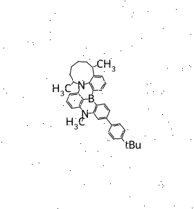 CC1CCCCC(C)N2c3cccc4c3B(c3ccc(-c5ccc(C(C)(C)C)cc5)cc3N4C)c3cccc1c32